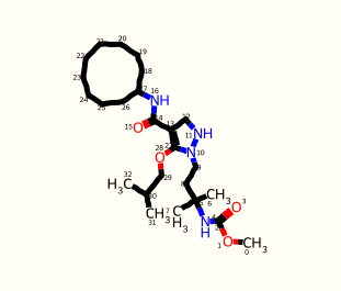 COC(=O)NC(C)(C)CCN1NCC(C(=O)NC2CCCCCCCCC2)=C1OCC(C)C